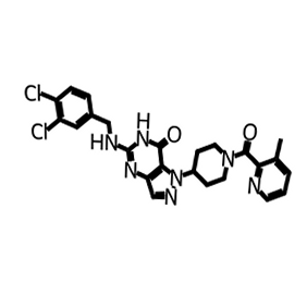 Cc1cccnc1C(=O)N1CCC(n2ncc3nc(NCc4ccc(Cl)c(Cl)c4)[nH]c(=O)c32)CC1